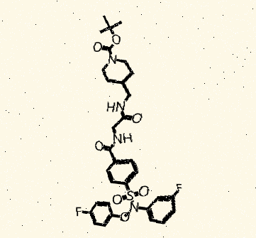 CC(C)(C)OC(=O)N1CCC(CNC(=O)CNC(=O)c2ccc(S(=O)(=O)N(Oc3ccc(F)cc3)c3cccc(F)c3)cc2)CC1